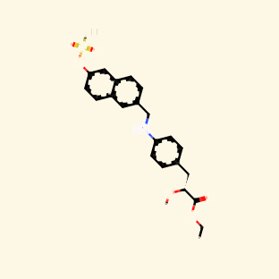 CCOC(=O)[C@H](Cc1ccc(NCc2ccc3cc(OS(C)(=O)=O)ccc3c2)cc1)OC